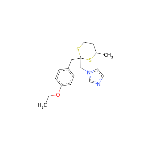 CCOc1ccc(CC2(Cn3ccnc3)SCCC(C)S2)cc1